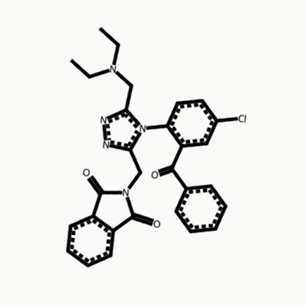 CCN(CC)Cc1nnc(CN2C(=O)c3ccccc3C2=O)n1-c1ccc(Cl)cc1C(=O)c1ccccc1